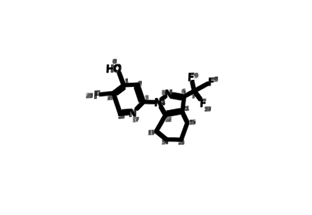 Oc1cc(-n2nc(C(F)(F)F)c3c2CCCC3)ncc1F